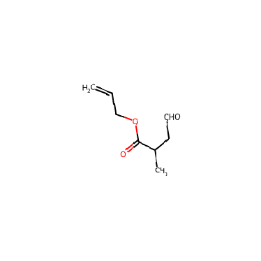 C=CCOC(=O)C(C)CC=O